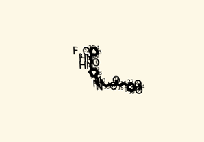 O=C(Nc1ccc(-n2cc(CCOC(=O)/C=C/c3ccc4c(c3)OCO4)nn2)cc1)Nc1ccccc1C(F)(F)F